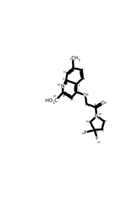 Cc1ccc2c(OCC(=O)N3CCC(F)(F)C3)cc(C(=O)O)nc2c1